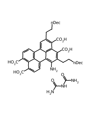 CCCCCCCCCCCCc1cc2c3ccc(C(=O)O)c4c(C(=O)O)ccc(c5c(N)c(CCCCCCCCCCCC)c(C(=O)O)c(c1C(=O)O)c25)c43.NC(=O)NC(N)=O